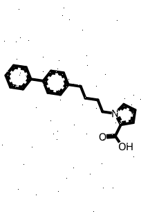 O=C(O)c1cccn1CCCCc1ccc(-c2ccccc2)cc1